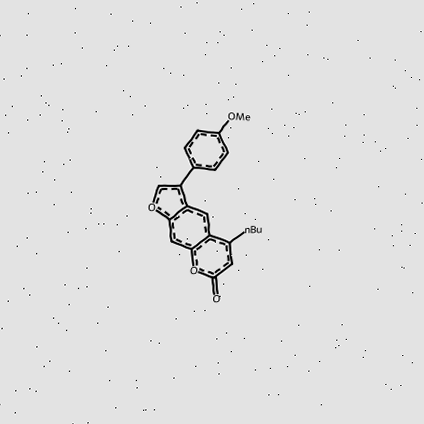 CCCCc1cc(=O)oc2cc3occ(-c4ccc(OC)cc4)c3cc12